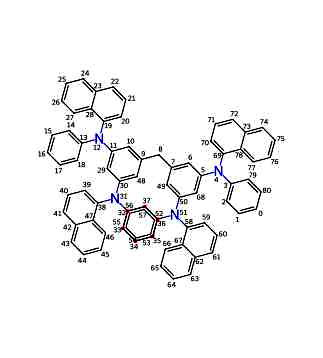 c1ccc(N(c2cc(Cc3cc(N(c4ccccc4)c4cccc5ccccc45)cc(N(c4ccccc4)c4cccc5ccccc45)c3)cc(N(c3ccccc3)c3cccc4ccccc34)c2)c2cccc3ccccc23)cc1